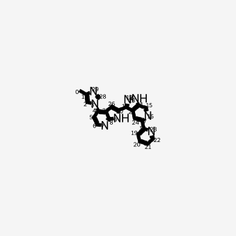 Cc1cn(-c2ccnc3[nH]c(-c4n[nH]c5cnc(-c6ccccn6)cc45)cc23)cn1